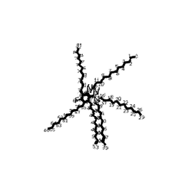 CCCCCCCCCCCCc1nc(N(CCCCCCCCCCCC)CCCCCCCCCCCC)c2c(CCCCCCCCCCCC)c(CCCCCCCCCCCC)c(F)c(CCCCCCCCCCCC)c2n1